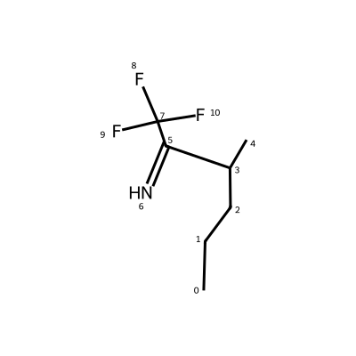 CCCC(C)C(=N)C(F)(F)F